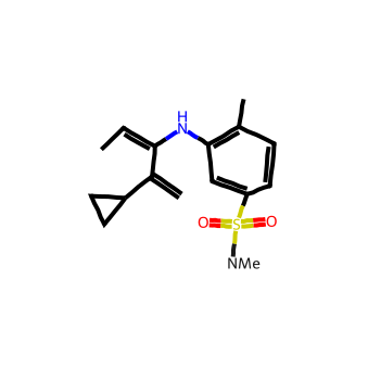 C=C(/C(=C\C)Nc1cc(S(=O)(=O)NC)ccc1C)C1CC1